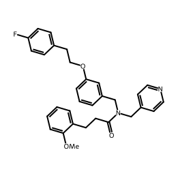 COc1ccccc1CCC(=O)N(Cc1ccncc1)Cc1cccc(OCCc2ccc(F)cc2)c1